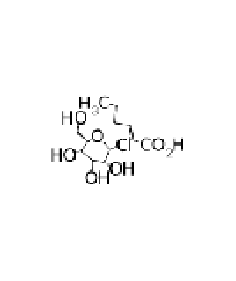 C/C=C/C=C/C(=O)O.OC[C@H]1OC(Cl)[C@H](O)[C@@H](O)[C@@H]1O